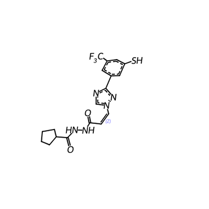 O=C(/C=C\n1cnc(-c2cc(S)cc(C(F)(F)F)c2)n1)NNC(=O)C1CCCC1